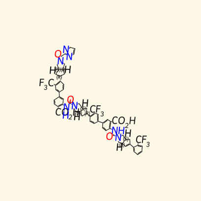 O=C(O)c1ccc(-c2ccc([C@@H]3C[C@@H]4CN(C(=O)c5ncccn5)C[C@@H]4C3)c(C(F)(F)F)c2)cc1NC(=O)N1C[C@H]2C[C@@H](c3ccc(-c4ccc(NC(=O)N5C[C@H]6CC(c7ccccc7C(F)(F)F)=C[C@H]6C5)c(C(=O)O)c4)cc3C(F)(F)F)C[C@H]2C1